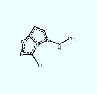 CNn1ccc2nnc(Cl)n21